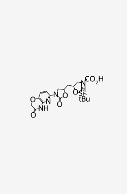 CC(C)(C)[Si](C)(C)OC(CNC(=O)O)CC1CN(c2ccc3c(n2)NC(=O)CO3)C(=O)O1